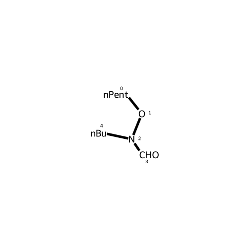 CCCCCON(C=O)CCCC